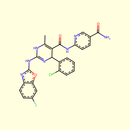 CC1=C(C(=O)Nc2ccc(C(N)=O)cn2)C(c2ccccc2Cl)N=C(Nc2nc3ccc(F)cc3o2)N1